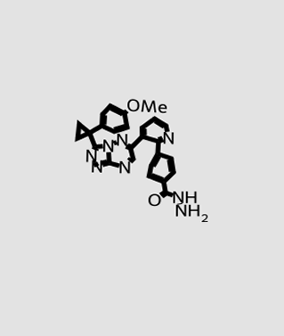 COc1ccc(C2(c3nnc4ncc(-c5cccnc5-c5ccc(C(=O)NN)cc5)nn34)CC2)cc1